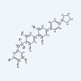 Fc1cc(OC(F)(F)c2c(F)cc(-c3c(F)cc(-c4ccc(C5CCCC5)cc4)cc3F)cc2F)cc(F)c1F